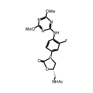 COc1nc(Nc2ccc(N3C[C@H](CNC(C)=O)OC3=O)cc2F)nc(OC)n1